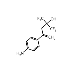 C=C(CC(O)(C(F)(F)F)C(F)(F)F)c1ccc(N)cc1